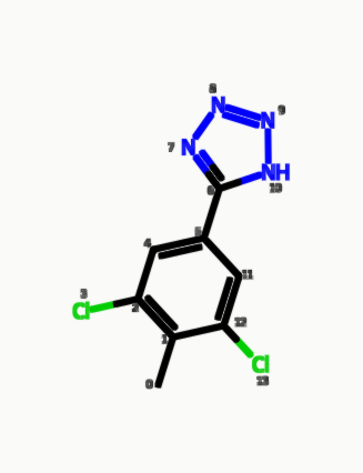 Cc1c(Cl)cc(-c2nnn[nH]2)cc1Cl